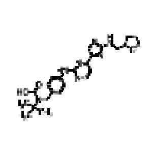 CC(C)(C)N(Cc1ccc(Nc2nccc(-c3cnc(NCC4CCCO4)s3)n2)cc1)C(=O)O